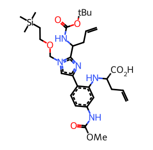 C=CCC(Nc1cc(NC(=O)OC)ccc1-c1cn(COCC[Si](C)(C)C)c(C(CC=C)NC(=O)OC(C)(C)C)n1)C(=O)O